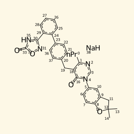 CCCc1ncn(-c2ccc3c(c2)CC(C)(C)O3)c(=O)c1Cc1ccc(-c2ccccc2-c2noc(=O)[nH]2)cc1.[NaH]